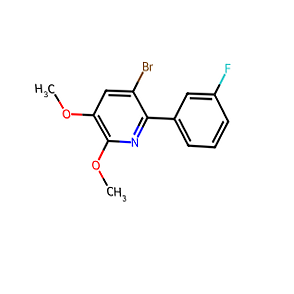 COc1cc(Br)c(-c2cccc(F)c2)nc1OC